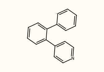 [c]1ccccc1-c1ccccc1-c1ccncc1